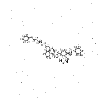 NCc1cc(C(O)CN(CCCCCCOCCCCc2ccccc2)Cc2ccccc2)ccc1OCc1ccccc1